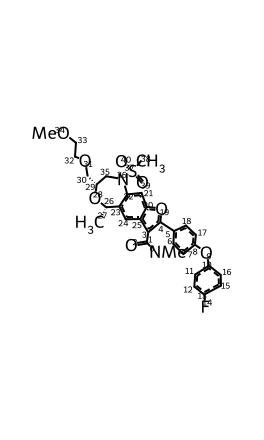 CNC(=O)c1c(-c2ccc(Oc3ccc(F)cc3)cc2)oc2cc3c(cc12)[C@H](C)O[C@H](COCCOC)CN3S(C)(=O)=O